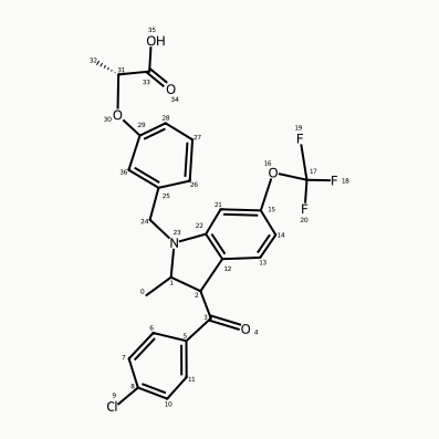 CC1C(C(=O)c2ccc(Cl)cc2)c2ccc(OC(F)(F)F)cc2N1Cc1cccc(O[C@H](C)C(=O)O)c1